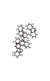 c1cc(-c2cccc3sc4ccccc4c23)cc(N(c2ccccc2-c2ccc3ccccc3c2)c2ccccc2-c2cccc3c2oc2ccccc23)c1